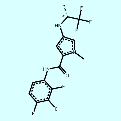 C[C@@H](Nc1cc(C(=O)Nc2ccc(F)c(Cl)c2F)n(C)c1)C(F)(F)F